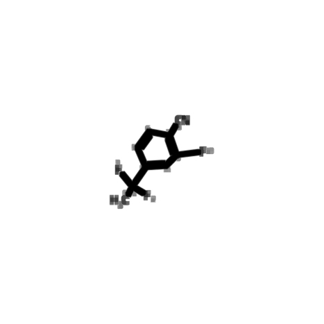 CC(F)(F)c1ccc(C#N)c(F)c1